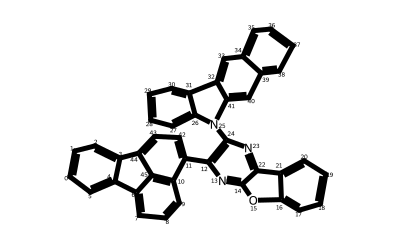 c1ccc2c(c1)-c1cccc3c(-c4nc5oc6ccccc6c5nc4-n4c5ccccc5c5cc6ccccc6cc54)ccc-2c13